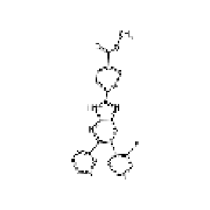 COC(=O)c1ccc(-c2nc3cc(-c4ccncc4F)c(-c4cccnc4)nc3[nH]2)cc1